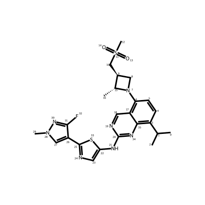 CC(C)c1ccc(N2C[C@H](CS(C)(=O)=O)[C@H]2C)c2cnc(Nc3cnc(-c4cn(C)nc4F)s3)nc12